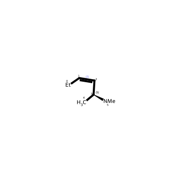 CC/C=C\[C@H](C)NC